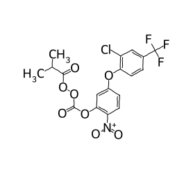 CC(C)C(=O)OOC(=O)Oc1cc(Oc2ccc(C(F)(F)F)cc2Cl)ccc1[N+](=O)[O-]